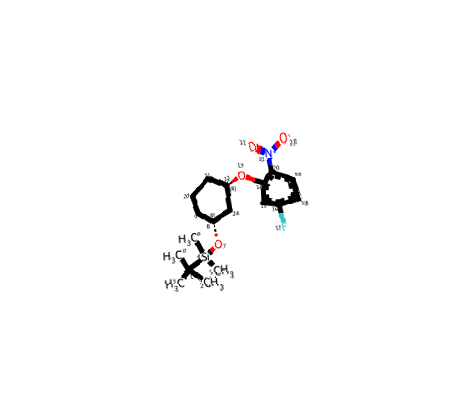 CC(C)(C)[Si](C)(C)O[C@@H]1CCC[C@@H](Oc2cc(F)ccc2[N+](=O)[O-])C1